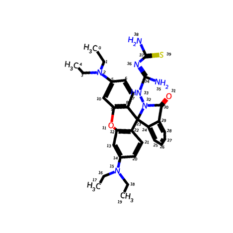 CCN(CC)c1ccc2c(c1)Oc1cc(N(CC)CC)ccc1C21c2ccccc2C(=O)N1N/C(N)=N/C(N)=S